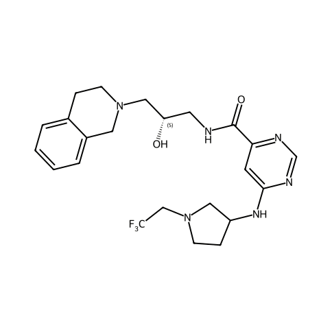 O=C(NC[C@H](O)CN1CCc2ccccc2C1)c1cc(NC2CCN(CC(F)(F)F)C2)ncn1